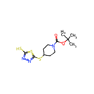 CC(C)(C)OC(=O)N1CCC(Sc2nnc(S)s2)CC1